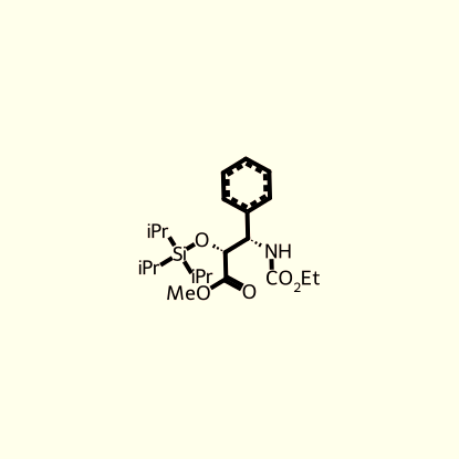 CCOC(=O)N[C@@H](c1ccccc1)[C@@H](O[Si](C(C)C)(C(C)C)C(C)C)C(=O)OC